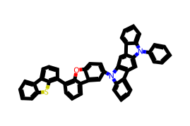 c1ccc(-n2c3ccccc3c3cc4c(cc32)c2ccccc2n4-c2ccc3oc4c(-c5cccc6c5sc5ccccc56)cccc4c3c2)cc1